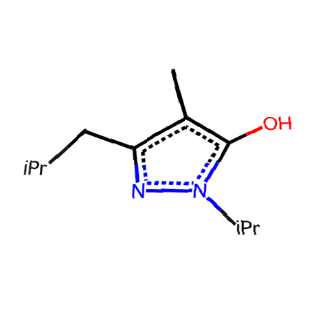 Cc1c(CC(C)C)nn(C(C)C)c1O